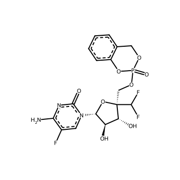 Nc1nc(=O)n([C@@H]2O[C@@](COP3(=O)OCc4ccccc4O3)(C(F)F)[C@H](O)[C@H]2O)cc1F